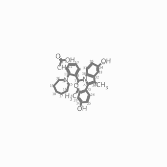 CC(=O)O.CCOC(c1ccccc1N1CCCCCC1)n1c(-c2ccc(O)cc2)c(C)c2cc(O)ccc21